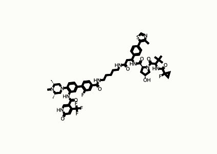 Cc1ncsc1-c1ccc(C(CC(=O)NCCCCCNC(=O)c2ccc(-c3ccc(N4C[C@@H](C)N(C)[C@@H](C)C4)c(NC(=O)c4c[nH]c(=O)cc4C(F)(F)F)c3)c(F)c2)NC(=O)[C@@H]2C[C@@H](O)CN2C(=O)C(NC(=O)C2(F)CC2)C(C)(C)C)cc1